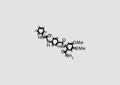 COc1cc(NC(=O)c2ccc(NC(=O)Nc3ccccc3)cc2)c(C(N)=O)cc1OC